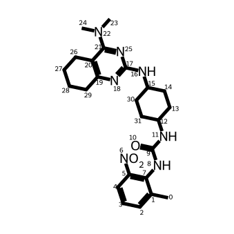 Cc1cccc([N+](=O)[O-])c1NC(=O)NC1CCC(Nc2nc3c(c(N(C)C)n2)CCCC3)CC1